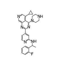 CC(Nc1cc(-c2nc(N3CCNCC3)c3c(C4CC4)cncc3n2)ccn1)c1ccccc1F